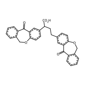 O=C1c2ccccc2COc2ccc(CCC(C(=O)O)c3ccc4c(c3)C(=O)c3ccccc3CO4)cc21